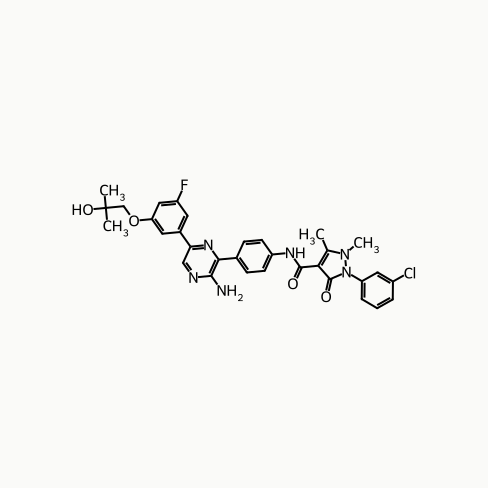 Cc1c(C(=O)Nc2ccc(-c3nc(-c4cc(F)cc(OCC(C)(C)O)c4)cnc3N)cc2)c(=O)n(-c2cccc(Cl)c2)n1C